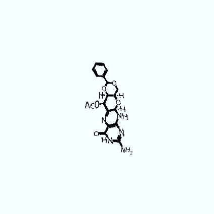 CC(=O)O[C@@H]1C2=Nc3c(nc(N)[nH]c3=O)N[C@@H]2O[C@@H]2COC(c3ccccc3)O[C@H]12